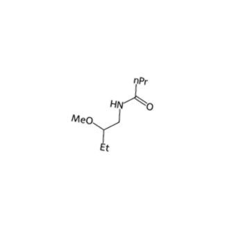 CCCC(=O)NCC(CC)OC